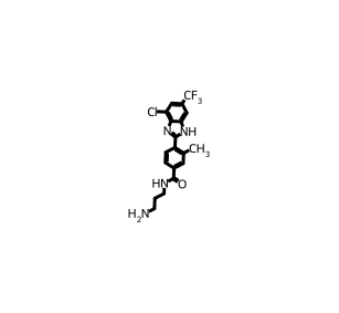 Cc1cc(C(=O)NCCCN)ccc1-c1nc2c(Cl)cc(C(F)(F)F)cc2[nH]1